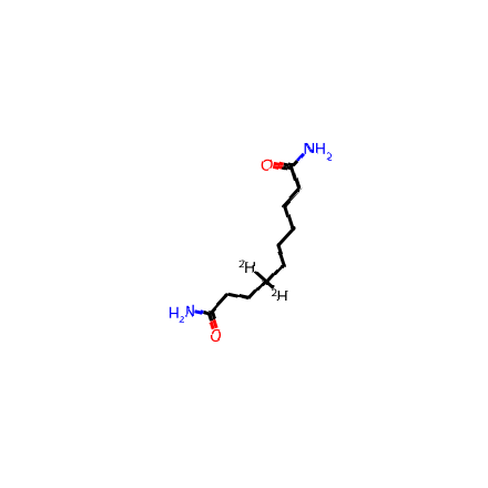 [2H]C([2H])(CCCCCC(N)=O)CCC(N)=O